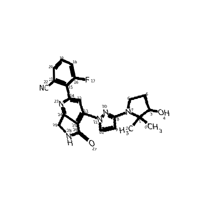 CC1(C)C(O)CCN1c1ccn(-c2cc(-c3c(F)cccc3C#N)nc3c2C(=O)NC3)n1